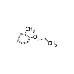 C=CCOc1ccccc1C